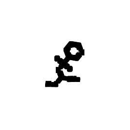 CSC(=NS(=O)(=O)c1cccnc1)SC